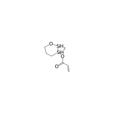 C=CC(=O)O[SiH]1CCCO[SiH2]1